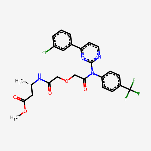 COC(=O)C[C@H](C)NC(=O)COCC(=O)N(c1ccc(C(F)(F)F)cc1)c1nccc(-c2cccc(Cl)c2)n1